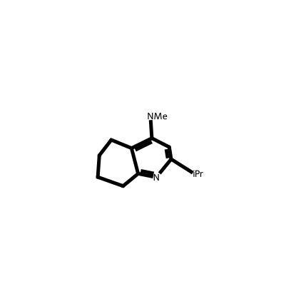 CNc1cc(C(C)C)nc2c1CCCC2